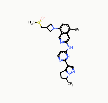 CC(C)c1ccc(N2CC(C[S+](C)[O-])C2)c2cnc(Nc3ccnc(-c4cnn5c4CCC5C(F)(F)F)n3)cc12